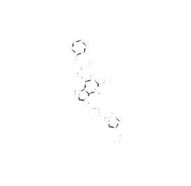 OCc1cnn([C@@H]2CC[C@H](n3cnc4c(N[C@H](CO)Cc5ccccc5)nc(Cl)nc43)C2)c1